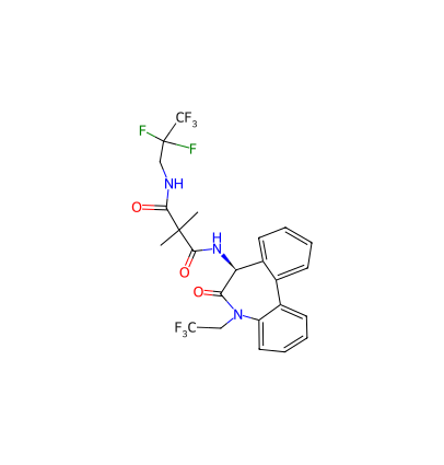 CC(C)(C(=O)NCC(F)(F)C(F)(F)F)C(=O)N[C@@H]1C(=O)N(CC(F)(F)F)c2ccccc2-c2ccccc21